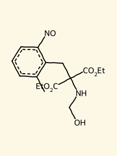 CCOC(=O)C(Cc1c(C)cccc1N=O)(NCO)C(=O)OCC